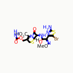 CO/N=C(\C(=O)NC1C(=O)N2C(C(=O)O)=C(COC(N)=O)CS[C@H]12)c1nc(N)sc1Br